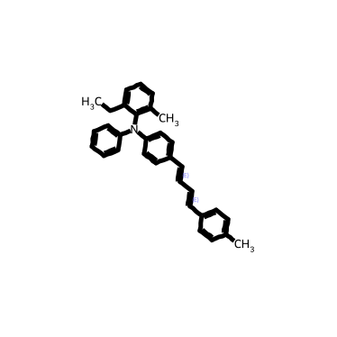 CCc1cccc(C)c1N(c1ccccc1)c1ccc(/C=C/C=C/c2ccc(C)cc2)cc1